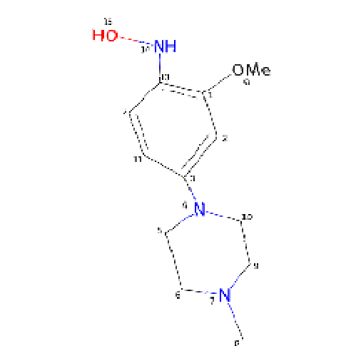 COc1cc(N2CCN(C)CC2)ccc1NO